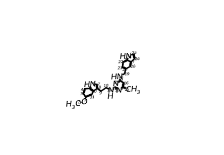 COc1ccc2[nH]cc(CCNc3nc(C)cc(NCc4ccc5[nH]ccc5c4)n3)c2c1